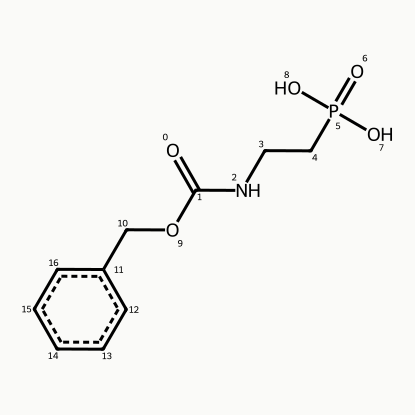 O=C(NCCP(=O)(O)O)OCc1ccccc1